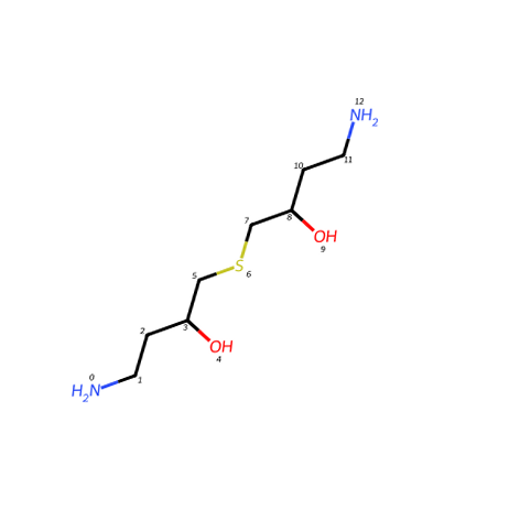 NCCC(O)CSCC(O)CCN